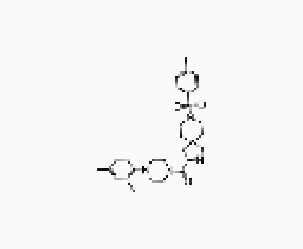 Cc1ccc(S(=O)(=O)N2CCC3(CC2)CN=C(C(=O)N2CCN(c4ccc(C)cc4C)CC2)C3)cc1